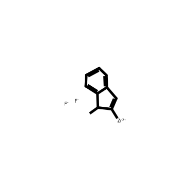 CC1[C]([Zr+2])=Cc2ccccc21.[F-].[F-]